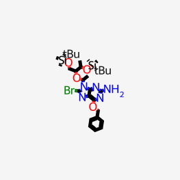 CC(O[Si](C)(C)C(C)(C)C)C(CO[Si](C)(C)C(C)(C)C)OC(C)n1c(Br)nc2c(OCc3ccccc3)nc(N)nc21